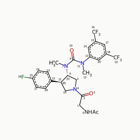 CC(=O)NCC(=O)N1C[C@@H](N(C)C(=O)N(C)c2cc(C(F)(F)F)cc(C(F)(F)F)c2)[C@H](c2ccc(F)cc2)C1